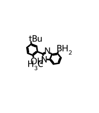 Bc1cccc2c1nc(-c1cc(C(C)(C)C)ccc1O)n2C